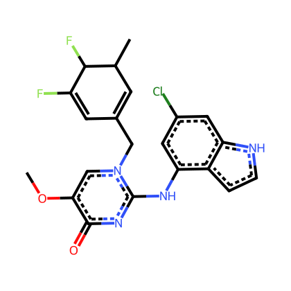 COc1cn(CC2=CC(C)C(F)C(F)=C2)c(Nc2cc(Cl)cc3[nH]ccc23)nc1=O